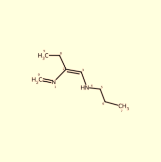 C=N/C(=C\NCCC)CC